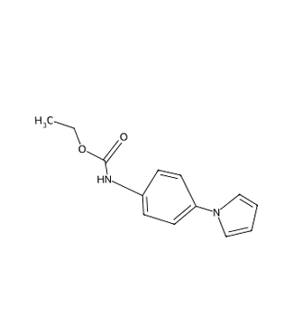 CCOC(=O)Nc1ccc(-n2cccc2)cc1